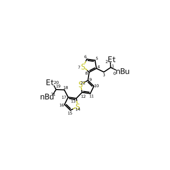 CCCCC(CC)Cc1ccsc1-c1ccc(-c2sccc2CC(CC)CCCC)s1